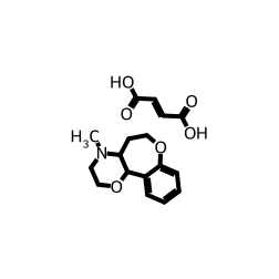 CN1CCOC2c3ccccc3OCCC21.O=C(O)/C=C/C(=O)O